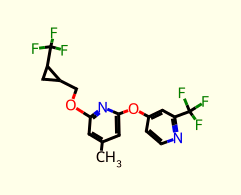 Cc1cc(OCC2CC2C(F)(F)F)nc(Oc2ccnc(C(F)(F)F)c2)c1